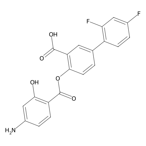 Nc1ccc(C(=O)Oc2ccc(-c3ccc(F)cc3F)cc2C(=O)O)c(O)c1